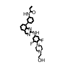 C=CC(=O)Nc1cccc(-c2cccc3cnc(Nc4cc(F)c(N5CCN(CCO)CC5)c(F)c4)nc23)c1